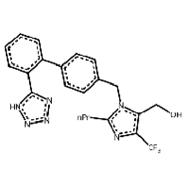 CCCc1nc(C(F)(F)F)c(CO)n1Cc1ccc(-c2ccccc2-c2nnn[nH]2)cc1